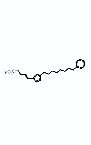 O=C(O)CCC=Cc1ccc(CCCCCCCCc2ccccc2)s1